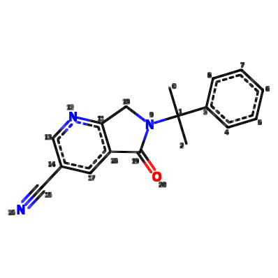 CC(C)(c1ccccc1)N1Cc2ncc(C#N)cc2C1=O